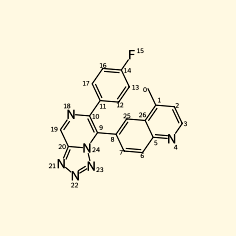 Cc1ccnc2ccc(-c3c(-c4ccc(F)cc4)ncc4nnnn34)cc12